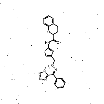 Cn1nnnc1/C(=N\OCc1csc(NC(=O)C2CCc3ccccc3O2)n1)c1ccccc1